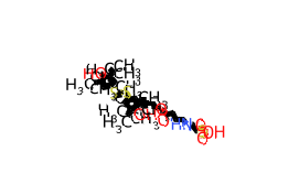 CC(C)(Sc1cc(C(C)(C)C)c(O)c(C(C)(C)C)c1)Sc1cc(C(C)(C)C)c(O)c(C(C)(C)CCOC(=O)CCCNCCS(=O)(=O)O)c1